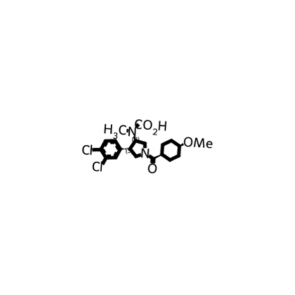 CO[C@H]1CC[C@@H](C(=O)N2C[C@H](c3ccc(Cl)c(Cl)c3)[C@@H](N(C)C(=O)O)C2)CC1